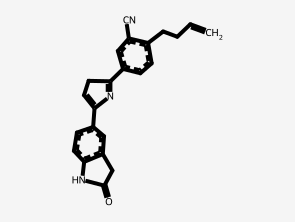 C=CCCc1ccc(C2=NC(c3ccc4c(c3)CC(=O)N4)=CC2)cc1C#N